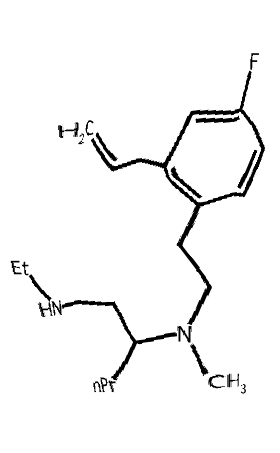 C=Cc1cc(F)ccc1CCN(C)C(CCC)CNCC